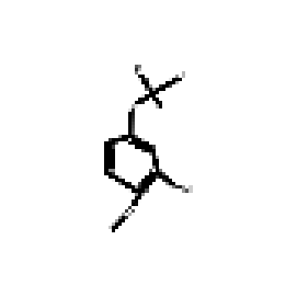 COc1ccc(OC(F)(F)F)cc1O